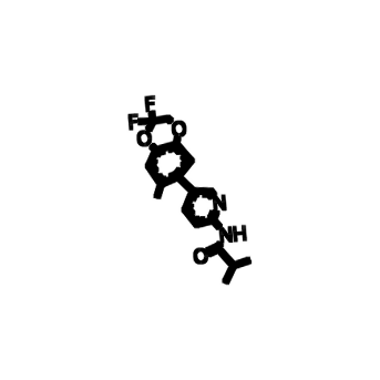 Cc1cc2c(cc1-c1ccc(NC(=O)C(C)C)nc1)OCC(F)(F)O2